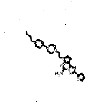 CCCCc1ccc(N2CCN(CCn3ccc4c3nc(N)n3nc(-c5ccco5)nc43)CC2)cc1